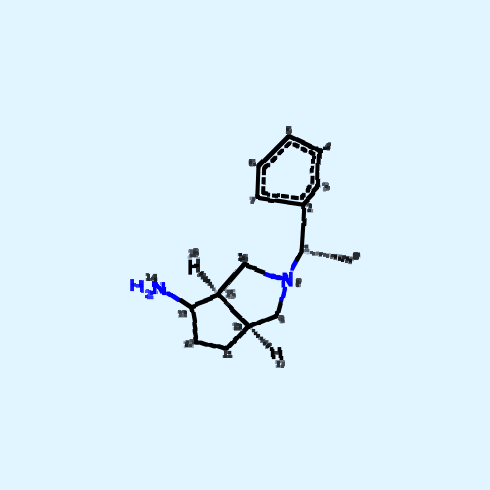 C[C@@H](c1ccccc1)N1C[C@H]2CCC(N)[C@H]2C1